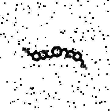 CCN1CCN(CC(O)CN2CCCN(CC(O)CN3CCN(CC)CC3)CC2)CC1